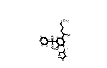 CCCCCCCCCCCCCC(C(C)=O)c1cc(OC2CCOC2)c(OC)c(C(Cl)(Cl)c2ccncc2)c1